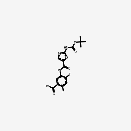 CC(C)(C)OC(=O)Nc1ncc(C(=O)Nc2cc(C(=O)O)c(F)cc2F)s1